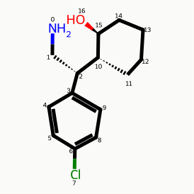 NC[C@@H](c1ccc(Cl)cc1)[C@H]1CCCC[C@@H]1O